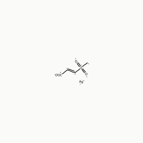 CS(=O)(=O)/C=C/C(=O)[O-].[Ag+]